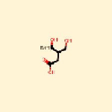 O=C(O)CC(CO)CO.[BaH2]